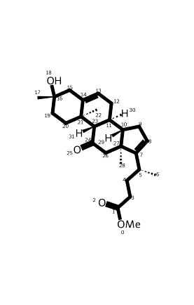 COC(=O)CC[C@@H](C)C1=CC[C@H]2[C@@H]3CC=C4C[C@@](C)(O)CC[C@]4(C)[C@H]3C(=O)C[C@]12C